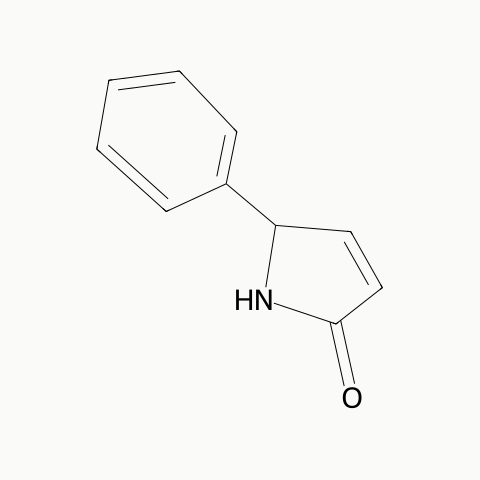 O=C1C=CC(c2ccccc2)N1